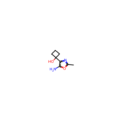 Cc1nc(C2(O)CCC2)c(N)o1